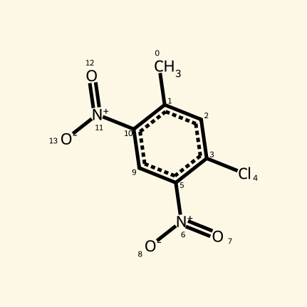 Cc1cc(Cl)c([N+](=O)[O-])cc1[N+](=O)[O-]